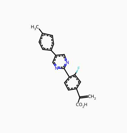 C=C(C(=O)O)c1ccc(-c2ncc(-c3ccc(C)cc3)cn2)c(F)c1